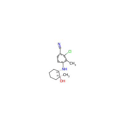 Cc1c(N[C@H]2CCCC[C@]2(C)O)ccc(C#N)c1Cl